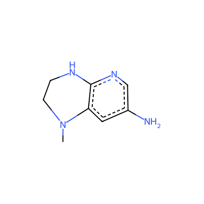 CN1CCNc2ncc(N)cc21